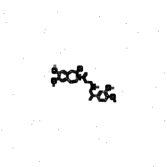 C=C(CCN(C)CC(C)c1ccc(OC)c(OC)c1)N1C=Cc2cc(OC)c(OC)cc2CC1=O